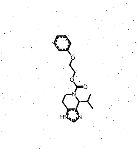 CC(C)C1c2nc[nH]c2CCN1C(=O)OCCOc1ccccc1